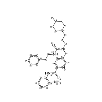 CC1CCN(CCCN(Cc2ccc(C(=O)Nc3ccccc3N)nc2)C(=O)NCCc2ccccc2)CC1